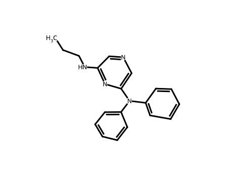 CCCNc1cncc(N(c2ccccc2)c2ccccc2)n1